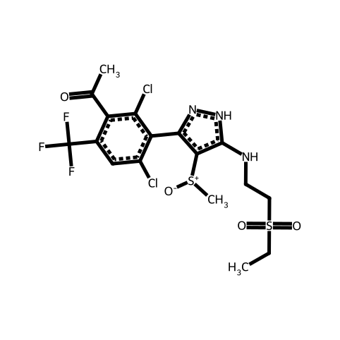 CCS(=O)(=O)CCNc1[nH]nc(-c2c(Cl)cc(C(F)(F)F)c(C(C)=O)c2Cl)c1[S+](C)[O-]